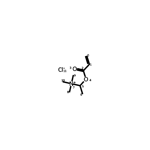 C=CC(=O)OC(C)[N+](C)(C)C.[Cl-]